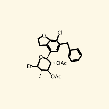 CC[C@H]1O[C@@H](c2cc(Cc3ccccc3)c(Cl)c3c2CCO3)[C@H](OC(C)=O)[C@@H](OC(C)=O)[C@@H]1C